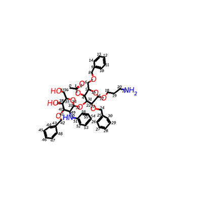 CC(=O)OC1C(COCc2ccccc2)OC(OCCCN)C(OCc2ccccc2)C1OC1OC(CO)C(O)C(OCc2ccccc2)C1Nc1ccccc1